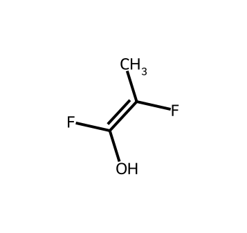 CC(F)=C(O)F